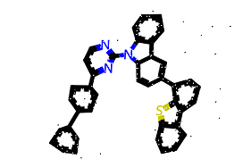 C1=CC2C(C=C1c1cccc3c1sc1ccccc13)c1ccccc1N2c1nccc(-c2ccc(-c3ccccc3)cc2)n1